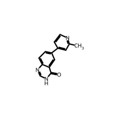 Cc1cc(-c2ccc3nc[nH]c(=O)c3c2)ccn1